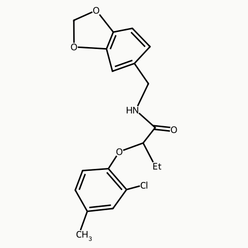 CCC(Oc1ccc(C)cc1Cl)C(=O)NCc1ccc2c(c1)OCO2